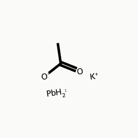 CC(=O)[O-].[K+].[PbH2]